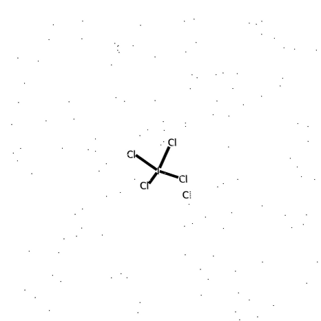 Cl[I](Cl)(Cl)Cl.[C]